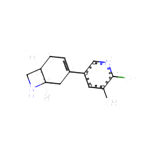 Cc1cc(C2=CC[C@@H]3CN[C@@H]3C2)cnc1Cl